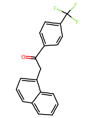 O=C(Cc1cccc2ccccc12)c1ccc(C(F)(F)F)cc1